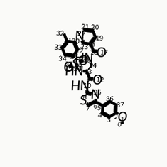 COc1ccc(-c2csc(NC(=O)[C@H](CNC(=O)c3cccnc3)NS(=O)(=O)c3ccc(C)cc3)n2)cc1